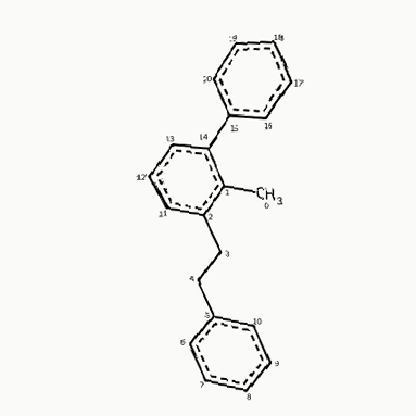 Cc1c(CCc2ccccc2)cccc1-c1ccccc1